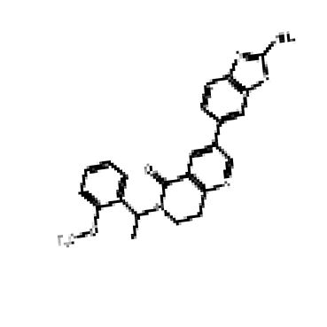 CC(c1ccccc1OC(F)(F)F)N1CCc2ncc(-c3ccc4nc(N)sc4c3)cc2C1=O